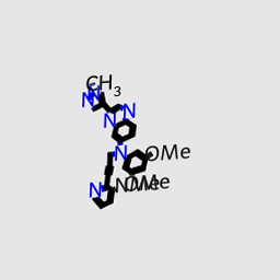 CNc1cccnc1C#CCN(c1cc(OC)cc(OC)c1)c1ccc2ncc(-c3cnn(C)c3)nc2c1